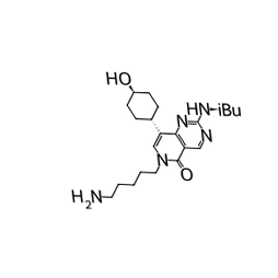 CC[C@H](C)Nc1ncc2c(=O)n(CCCCCN)cc([C@H]3CC[C@H](O)CC3)c2n1